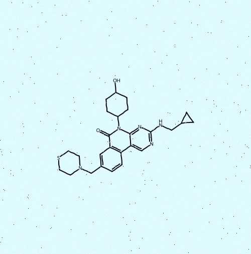 O=c1c2cc(CN3CCSCC3)ccc2c2cnc(NCC3CC3)nc2n1C1CCC(O)CC1